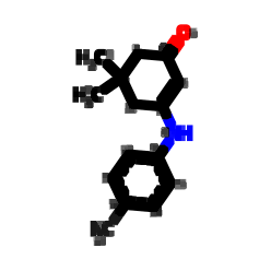 CC1(C)CC(=O)C=C(Nc2ccc(C#N)cc2)C1